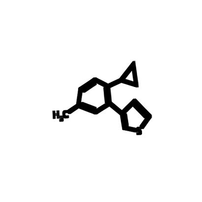 Cc1ccc(C2CC2)c(-c2ccsc2)c1